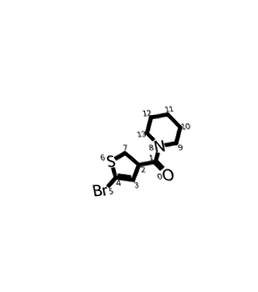 O=C(C1C=C(Br)SC1)N1CCCCC1